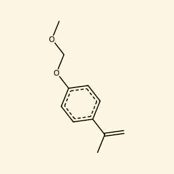 C=C(C)c1ccc(OCOC)cc1